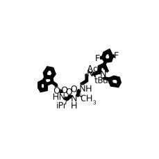 CC(=O)N(CCCNC(=O)[C@H](C)NC(=O)[C@@H](NC(=O)OCC1c2ccccc2-c2ccccc21)C(C)C)[C@@H](c1cc(-c2cc(F)ccc2F)cn1Cc1ccccc1)C(C)(C)C